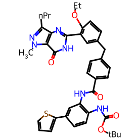 CCCc1nn(C)c2c(=O)[nH]c(-c3cc(Cc4ccc(C(=O)Nc5cc(-c6cccs6)ccc5NC(=O)OC(C)(C)C)cc4)ccc3OCC)nc12